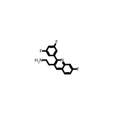 NCCc1cc2ccc(F)cc2nc1-c1cc(F)cc(F)c1